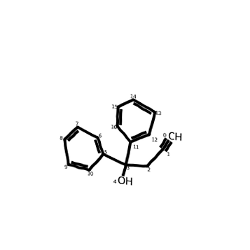 C#CCC(O)(c1ccccc1)c1ccccc1